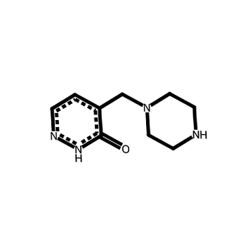 O=c1[nH]nccc1CN1CCNCC1